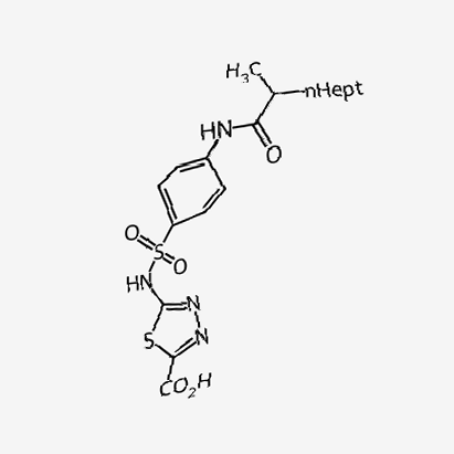 CCCCCCCC(C)C(=O)Nc1ccc(S(=O)(=O)Nc2nnc(C(=O)O)s2)cc1